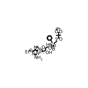 CCOc1nc(N)nc2c1ncn2[C@@H]1OC(COP(=O)(NCc2ccccc2)OCCSC(=O)C(C)(C)C(=O)OC(C)C)[C@@H](O)[C@@]1(C)F